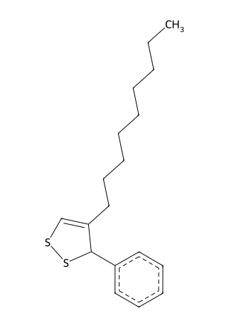 CCCCCCCCCC1=CSSC1c1ccccc1